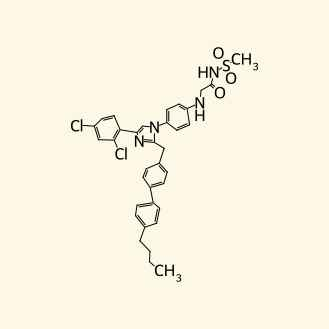 CCCCc1ccc(-c2ccc(Cc3nc(-c4ccc(Cl)cc4Cl)cn3-c3ccc(NCC(=O)NS(C)(=O)=O)cc3)cc2)cc1